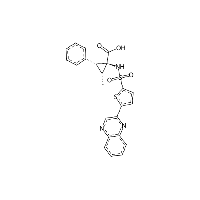 C[C@@H]1[C@H](c2ccccc2)[C@]1(NS(=O)(=O)c1ccc(-c2cnc3ccccc3n2)s1)C(=O)O